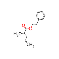 C=CCC(C)C(=O)OC=Cc1ccccc1